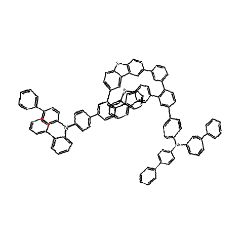 c1ccc(-c2ccc(N(c3ccc(-c4ccc(-c5cccc(-c6ccc7sc8ccc(-c9cc(-c%10ccc(N(c%11ccc(-c%12ccccc%12)cc%11)c%11ccccc%11-c%11ccccc%11)cc%10)ccc9-c9ccccc9)cc8c7c6)c5)c(-c5ccc6sc7ccccc7c6c5)c4)cc3)c3cccc(-c4ccccc4)c3)cc2)cc1